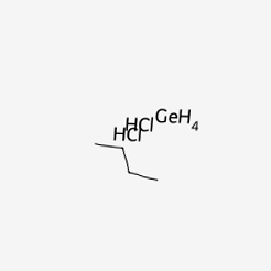 CCCC.Cl.Cl.[GeH4]